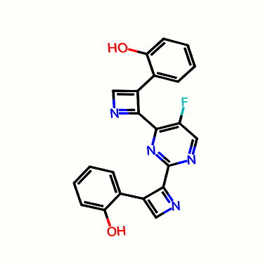 Oc1ccccc1C1=CN=C1c1ncc(F)c(C2=NC=C2c2ccccc2O)n1